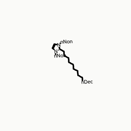 CCCCCCCCCCCCCCCCCCCc1n(CCCCCCCCC)cc[n+]1CCCCCCCCC